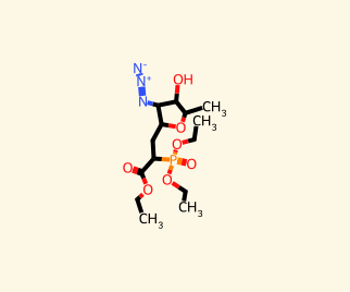 CCOC(=O)C(CC1OC(C)C(O)C1N=[N+]=[N-])P(=O)(OCC)OCC